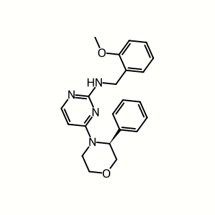 COc1ccccc1CNc1nccc(N2CCOC[C@@H]2c2ccccc2)n1